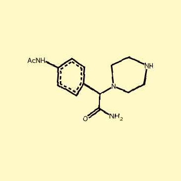 CC(=O)Nc1ccc(C(C(N)=O)N2CCNCC2)cc1